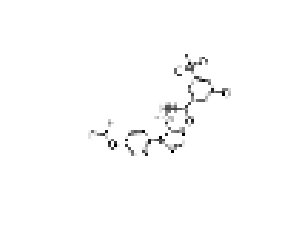 C[C@H](NC(=O)c1cc(Cl)cc(S(C)(=O)=O)c1)c1ncnn1-c1ccc(OC(F)F)cn1